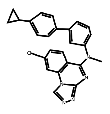 CN(c1cccc(-c2ccc(C3CC3)cc2)c1)c1nc2nncn2c2cc(Cl)ccc12